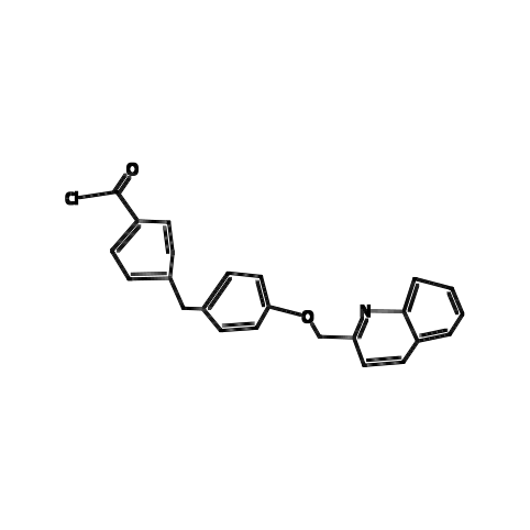 O=C(Cl)c1ccc(Cc2ccc(OCc3ccc4ccccc4n3)cc2)cc1